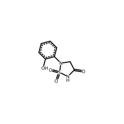 O=C1CN(c2ccccc2O)S(=O)(=O)N1